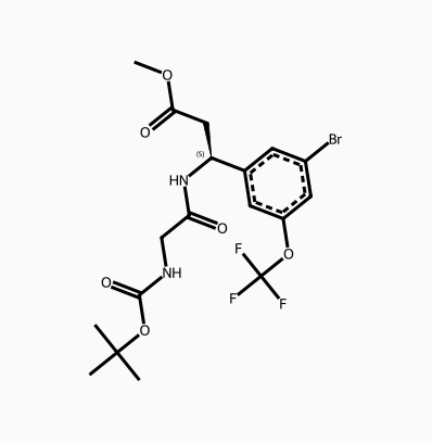 COC(=O)C[C@H](NC(=O)CNC(=O)OC(C)(C)C)c1cc(Br)cc(OC(F)(F)F)c1